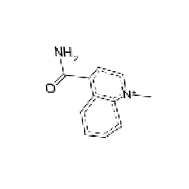 C[n+]1ccc(C(N)=O)c2ccccc21